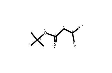 CC(C)(C)OC(=S)CC(F)F